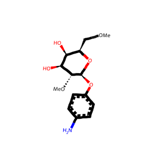 COC[C@H]1O[C@@H](Oc2ccc(N)cc2)[C@H](OC)[C@@H](O)[C@H]1O